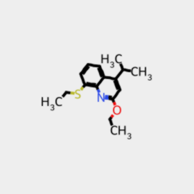 CCOc1cc(C(C)C)c2cccc(SCC)c2n1